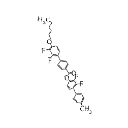 CCCCCCOc1ccc(-c2ccc(C(=O)Oc3ccc(-c4ccc(C)cc4)c(F)c3F)cc2)c(F)c1F